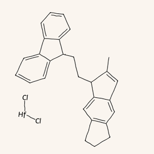 CC1=Cc2cc3c(cc2C1CC[C]1c2ccccc2-c2ccccc21)CCC3.[Cl][Hf][Cl]